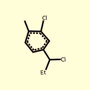 [CH2]CC(Cl)c1ccc(C)c(Cl)c1